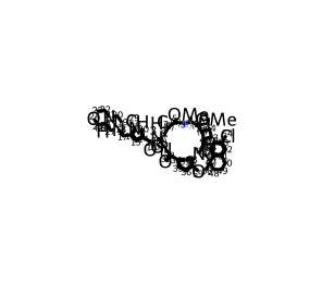 CO[C@H]1/C=C/[C@H](OC)[C@H](C)C[S@@](=O)(NC(=O)c2cc(CN3CCN4CCOC[C@@H]4C3)n(C)c2)=NC(=O)c2ccc3c(c2)N(C[C@@H]2CC[C@H]21)C[C@@]1(CCCc2cc(Cl)ccc21)CO3